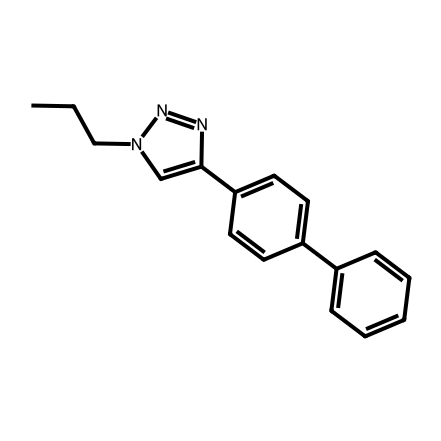 CCCn1cc(-c2ccc(-c3ccccc3)cc2)nn1